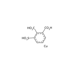 O=C(O)c1cccc(S(=O)(=O)O)c1C(=O)O.[Cu]